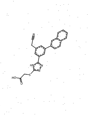 N#CCc1cc(-c2ccc3ccccc3c2)cc(-c2nnc(SCC(=O)O)[nH]2)c1